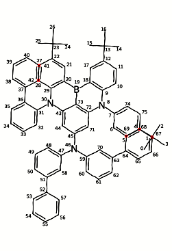 CC(C)(C)c1ccc(N2c3ccc(C(C)(C)C)cc3B3c4cc(C(C)(C)C)ccc4N(c4ccccc4-c4ccccc4)c4cc(N(c5cccc(-c6ccccc6)c5)c5cccc(-c6ccccc6)c5)cc2c43)cc1